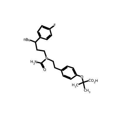 CCCCC(CCN(CCc1ccc(OC(C)(C)C(=O)O)cc1)C(N)=O)c1ccc(F)cc1